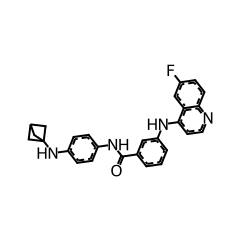 O=C(Nc1ccc(NC23CC(C2)C3)cc1)c1cccc(Nc2ccnc3ccc(F)cc23)c1